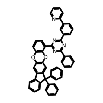 c1ccc(-c2nc(-c3cccc(-c4ccccn4)c3)nc(-c3cccc4c3Oc3cc5c(cc3O4)-c3ccccc3C5(c3ccccc3)c3ccccc3)n2)cc1